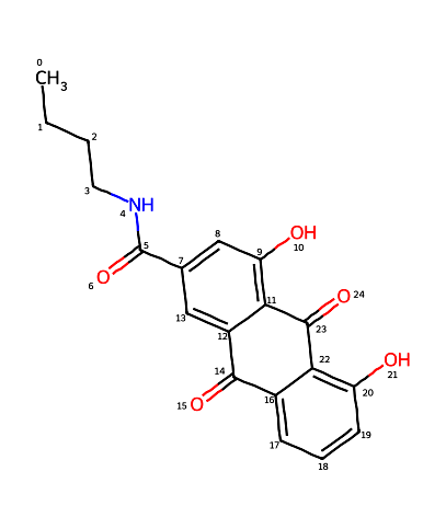 CCCCNC(=O)c1cc(O)c2c(c1)C(=O)c1cccc(O)c1C2=O